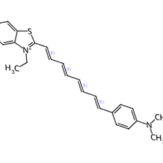 CC[n+]1c(/C=C/C=C/C=C/C=C/c2ccc(N(C)C)cc2)sc2ccccc21